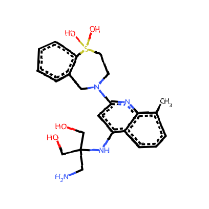 Cc1cccc2c(NC(CN)(CO)CO)cc(N3CCS(O)(O)c4ccccc4C3)nc12